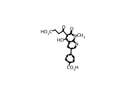 Cn1c(=O)c(C(=O)CCC(=O)O)c(O)c2cc(-c3ccc(C(=O)O)cc3)cnc21